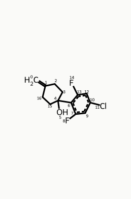 C=C1CCC(O)(c2c(F)cc(Cl)cc2F)CC1